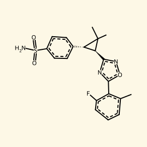 Cc1cccc(F)c1-c1nc([C@H]2[C@H](c3ccc(S(N)(=O)=O)cc3)C2(C)C)no1